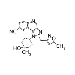 Cc1cc(Cc2nc3cnc4ccc(C#N)cc4c3n2C2CCC(C)(O)CC2)no1